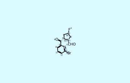 O=CN1C[C@H](F)C[C@H]1C(=O)c1cccc(Br)n1